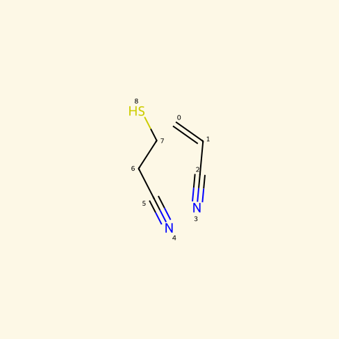 C=CC#N.N#CCCS